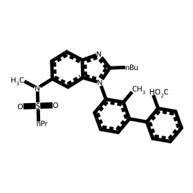 CCCCc1nc2ccc(N(C)S(=O)(=O)CCC)cc2n1-c1cccc(-c2ccccc2C(=O)O)c1C